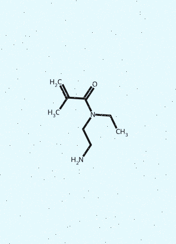 C=C(C)C(=O)N(CC)CCN